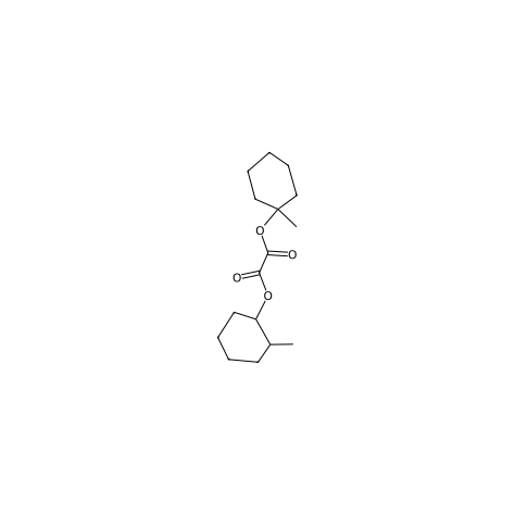 CC1CCCCC1OC(=O)C(=O)OC1(C)CCCCC1